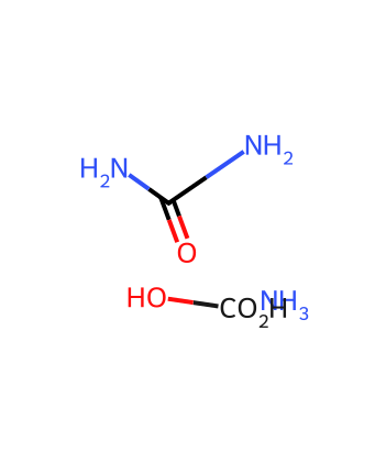 N.NC(N)=O.O=C(O)O